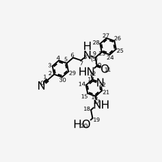 N#Cc1ccc(CCN[C@H](C(=O)Nc2ccc(NCCO)cn2)c2ccccc2)cc1